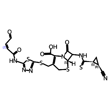 N#C[C@@H]1C[C@@H]1C(=S)NC1C(=O)N2C(C(=O)O)=C(CSc3nnc(NC(=O)/C=C\C=O)s3)CS[C@@H]12